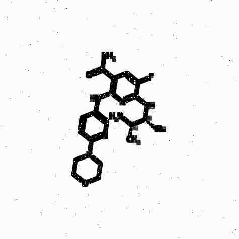 CCC(C)[C@@H](Nc1nc(Nc2ccc(N3CCOCC3)nc2)c(C(N)=O)cc1F)[C@H](C)N